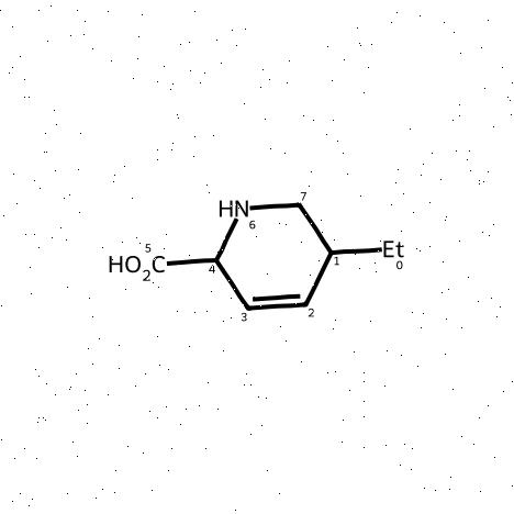 CCC1C=CC(C(=O)O)NC1